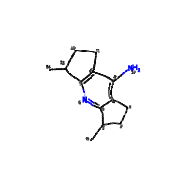 CC1CCc2c1nc1c(c2N)CCC1C